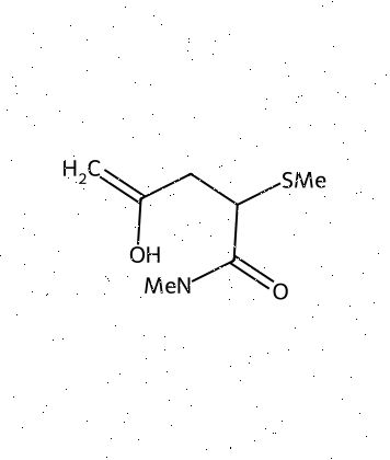 C=C(O)CC(SC)C(=O)NC